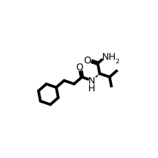 CC(C)[C@H](NC(=O)CCC1CCCCC1)C(N)=O